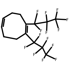 FC(F)(F)C(F)(F)C(F)(F)C1=C(C(F)(F)C(F)(F)C(F)(F)F)CCC=CCC1